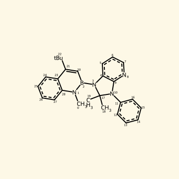 CN1B(N2c3cccnc3N(c3ccccc3)C2(C)C)C=C(C(C)(C)C)c2ccccc21